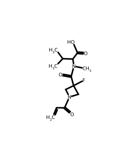 C=CC(=O)N1CC(F)(C(=O)N(C)C(C(=O)O)C(C)C)C1